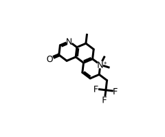 CC1CC2=C(C=CC(CC(F)(F)F)[N+]2(C)C)C2=C1N=CC(=O)C2